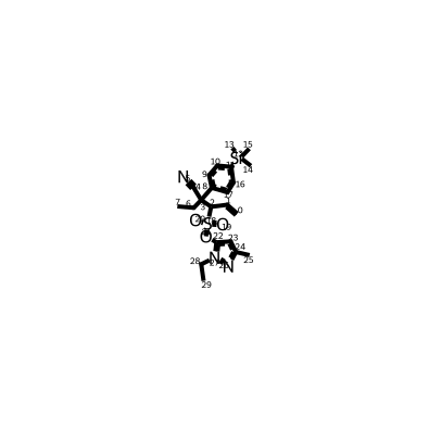 C=CC(C(C#N)(CC)c1ccc([Si](C)(C)C)cc1)S(=O)(=O)Oc1cc(C)nn1CC